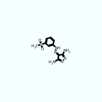 CS(=O)(=O)c1cccc(NN=C2C(N)=NN=C2N)c1